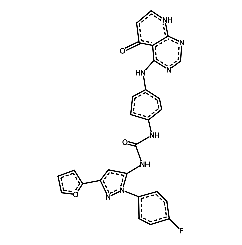 O=C(Nc1ccc(Nc2ncnc3[nH]ccc(=O)c23)cc1)Nc1cc(-c2ccco2)nn1-c1ccc(F)cc1